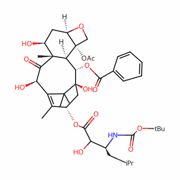 CC(=O)O[C@@]12CO[C@@H]1C[C@H](O)[C@@]1(C)C(=O)[C@H](O)C3=C(C)[C@@H](OC(=O)C(O)[C@H](CC(C)C)NC(=O)OC(C)(C)C)C[C@@](O)([C@@H](OC(=O)c4ccccc4)[C@H]21)C3(C)C